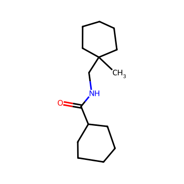 CC1(CNC(=O)C2CCCCC2)CCCCC1